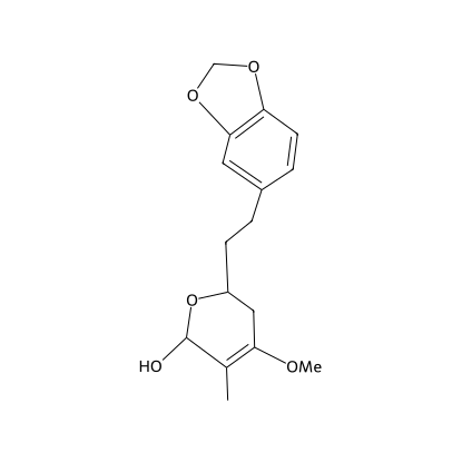 COC1=C(C)C(O)OC(CCc2ccc3c(c2)OCO3)C1